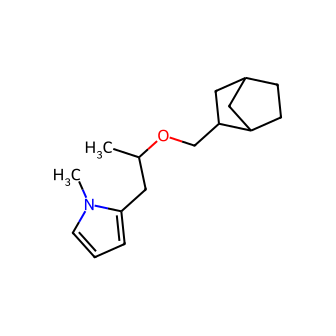 CC(Cc1cccn1C)OCC1CC2CCC1C2